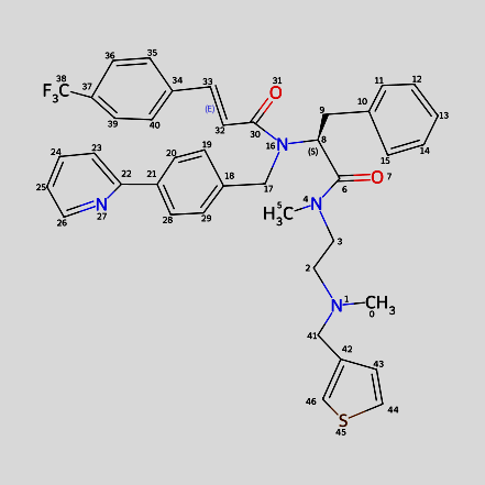 CN(CCN(C)C(=O)[C@H](Cc1ccccc1)N(Cc1ccc(-c2ccccn2)cc1)C(=O)/C=C/c1ccc(C(F)(F)F)cc1)Cc1ccsc1